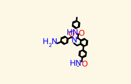 CNC(=O)c1ccc(-c2cccc3c2CCN(C(=O)c2ccc(CN)cc2)C3C(=O)Nc2ccc(C)cc2)cc1